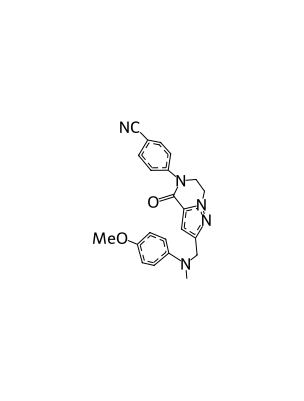 COc1ccc(N(C)Cc2cc3n(n2)CCN(c2ccc(C#N)cc2)C3=O)cc1